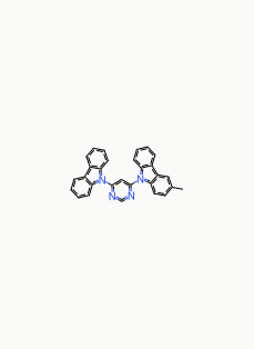 Cc1ccc2c(c1)c1ccccc1n2-c1cc(-n2c3ccccc3c3ccccc32)ncn1